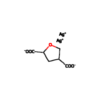 O=C([O-])C1COC(C(=O)[O-])C1.[Ag+].[Ag+]